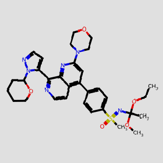 CCOC(C)(N=S(C)(=O)c1ccc(-c2cc(N3CCOCC3)nc3c(-c4ccnn4C4CCCCO4)nccc23)cc1)OC